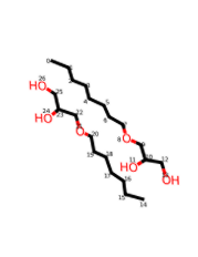 CCCCCCCCOCC(O)CO.CCCCCCCOCC(O)CO